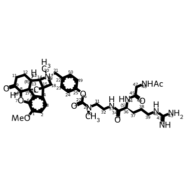 COc1ccc2c3c1O[C@H]1C(=O)CC[C@H]4C5C2(C[C@]314)C[N@+]5(C)Cc1ccc(OC(=O)N(C)CCNC(=O)[C@H](CCCNC(=N)N)NC(=O)CNC(C)=O)cc1